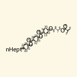 C=C(C)C(=O)OCCCCOc1ccc(C(=O)Oc2ccc(C(=O)Oc3ccc(CCCCCCC)cc3)cc2)cc1